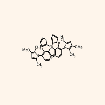 COc1cc(C)n(-c2ccc(F)[c]([Ti]([C]3=CC=CC3)([C]3=CC=CC3)[c]3c(F)ccc(-n4c(C)cc(OC)c4C)c3F)c2F)c1C